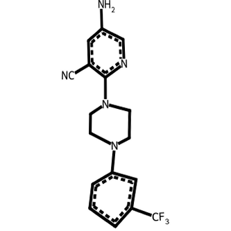 N#Cc1cc(N)cnc1N1CCN(c2cccc(C(F)(F)F)c2)CC1